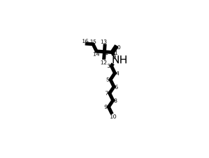 C=C(NCCCCCCCC)C(C)(C)CCC